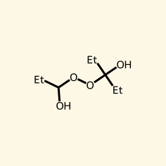 CCC(O)OOC(O)(CC)CC